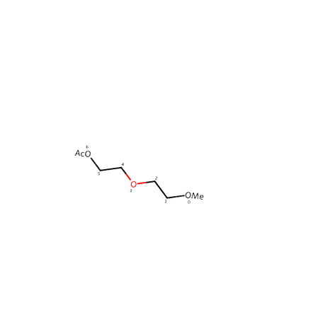 COCCOCCOC(C)=O